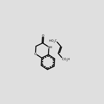 O=C(O)C=CC(=O)O.O=C1COc2ccccc2N1